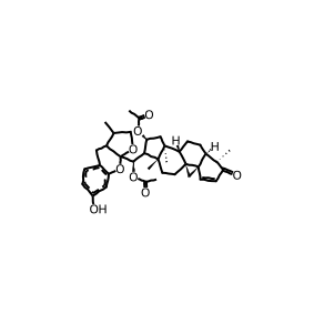 CC(=O)O[C@H]1C[C@@]2(C)[C@@H]3CC[C@H]4[C@H](C)C(=O)C=C[C@@]45C[C@@]35CC[C@]2(C)C1[C@@H](OC(C)=O)C12OCC(C)C1Cc1ccc(O)cc1O2